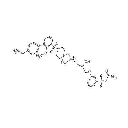 COc1c(-c2ccc(CN)cc2)cccc1S(=O)(=O)N1CCC2(CC1)CC(NCC(O)COc1cccc(S(=O)(=O)CC(N)=O)c1)CO2